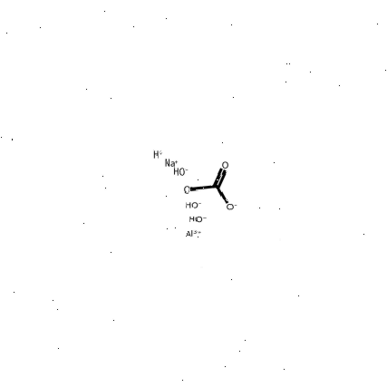 O=C([O-])[O-].[Al+3].[H+].[Na+].[OH-].[OH-].[OH-]